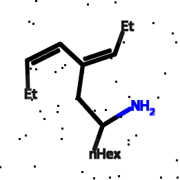 CC/C=C\C(=C/CC)CC(N)CCCCCC